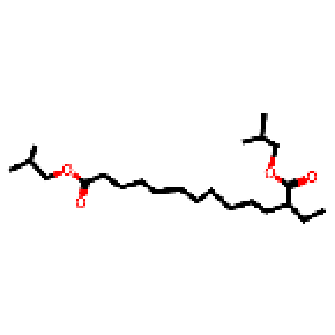 CCC(CCCCCCCCCCC(=O)OCC(C)C)C(=O)OCC(C)C